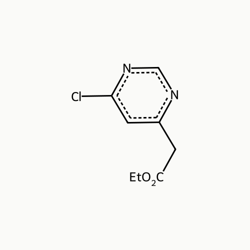 CCOC(=O)Cc1cc(Cl)ncn1